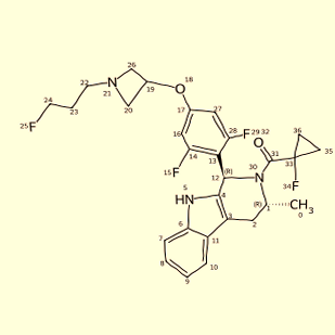 C[C@@H]1Cc2c([nH]c3ccccc23)[C@@H](c2c(F)cc(OC3CN(CCCF)C3)cc2F)N1C(=O)C1(F)CC1